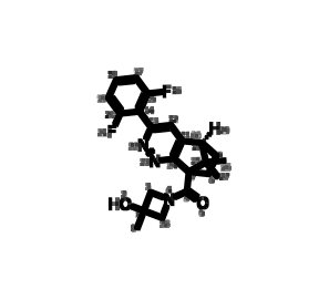 CC1(O)CN(C(=O)C23CC[C@H](c4cc(-c5c(F)cccc5F)nnc42)C3(C)C)C1